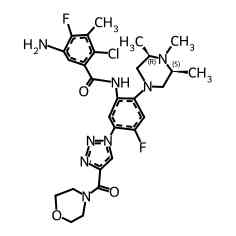 Cc1c(F)c(N)cc(C(=O)Nc2cc(-n3cc(C(=O)N4CCOCC4)nn3)c(F)cc2N2C[C@@H](C)N(C)[C@@H](C)C2)c1Cl